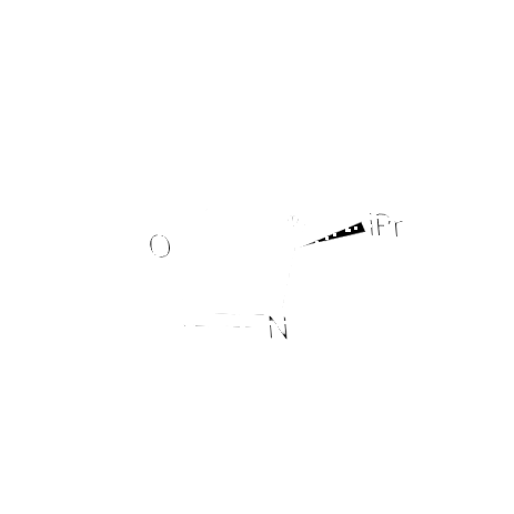 CC(C)[C@@H]1CO[C]=N1